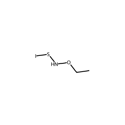 CCONSI